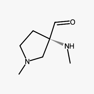 CN[C@@]1(C=O)CCN(C)C1